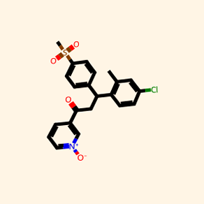 Cc1cc(Cl)ccc1C(CC(=O)c1ccc[n+]([O-])c1)c1ccc(S(C)(=O)=O)cc1